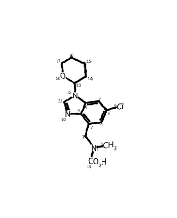 CN(Cc1cc(Cl)cc2c1ncn2C1CCCCO1)C(=O)O